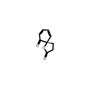 O=C1CC[C@@]2(C=CC=CC2=O)O1